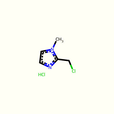 Cl.Cn1ccnc1CCl